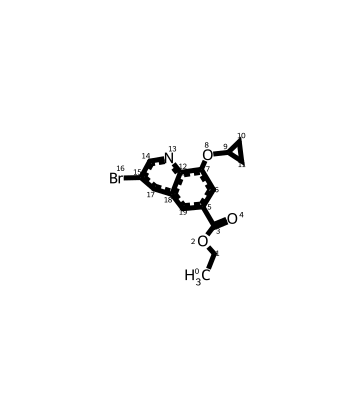 CCOC(=O)c1cc(OC2CC2)c2ncc(Br)cc2c1